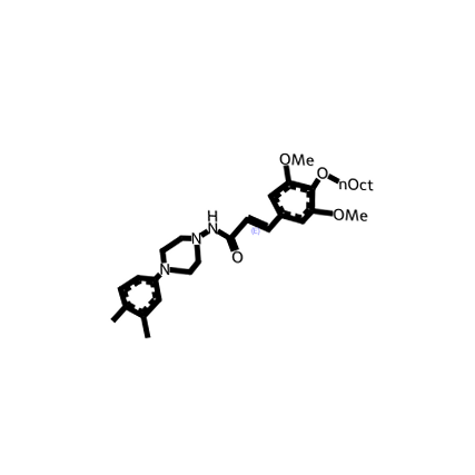 CCCCCCCCOc1c(OC)cc(/C=C/C(=O)NN2CCN(c3ccc(C)c(C)c3)CC2)cc1OC